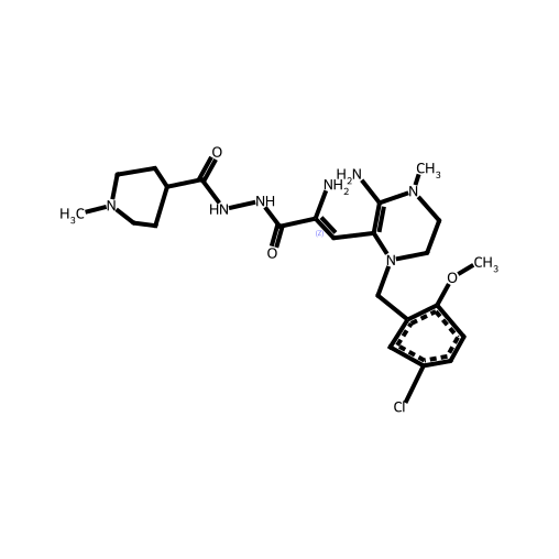 COc1ccc(Cl)cc1CN1CCN(C)C(N)=C1/C=C(\N)C(=O)NNC(=O)C1CCN(C)CC1